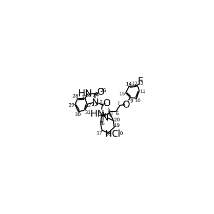 Cl.O=C(N[N+]1(CCCOc2ccc(F)cc2)C2CCCC1CC2)n1c(=O)[nH]c2ccccc21